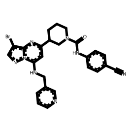 N#Cc1ccc(NC(=O)N2CCCC(c3cc(NCc4cccnc4)n4ncc(Br)c4n3)C2)cc1